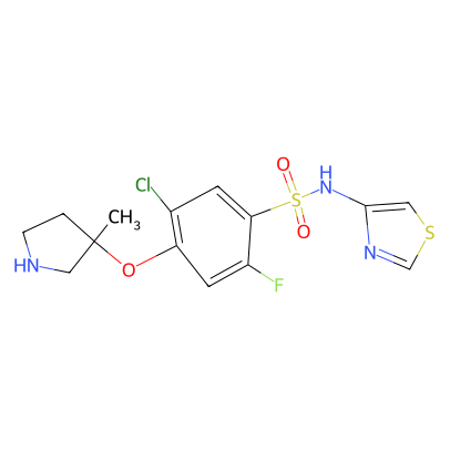 CC1(Oc2cc(F)c(S(=O)(=O)Nc3cscn3)cc2Cl)CCNC1